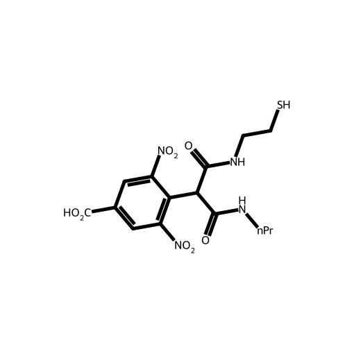 CCCNC(=O)C(C(=O)NCCS)c1c([N+](=O)[O-])cc(C(=O)O)cc1[N+](=O)[O-]